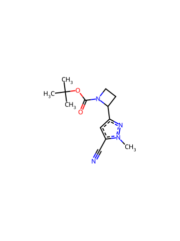 Cn1nc(C2CCN2C(=O)OC(C)(C)C)cc1C#N